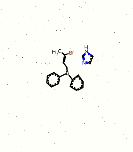 CC(Br)=CCB(c1ccccc1)c1ccccc1.c1c[nH]cn1